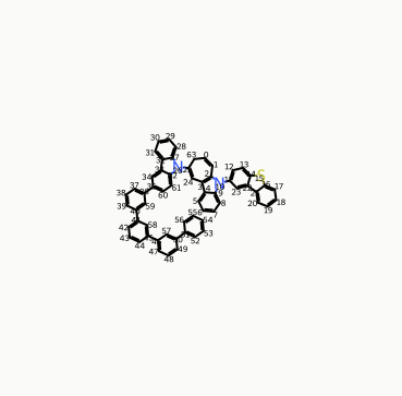 C1=Cc2c(c3ccccc3n2-c2ccc3sc4ccccc4c3c2)C=C(n2c3ccccc3c3cc(-c4cccc(-c5cccc(-c6cccc(-c7ccccc7)c6)c5)c4)ccc32)C1